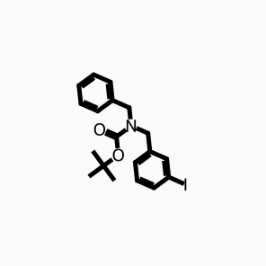 CC(C)(C)OC(=O)N(Cc1ccccc1)Cc1cccc(I)c1